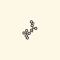 c1ccc(N(c2ccc(-c3ccc4c(c3)C(c3ccccc3)(c3ccccc3)c3ccc5ccccc5c3-4)nc2)c2ccc3c(c2)oc2ccccc23)cc1